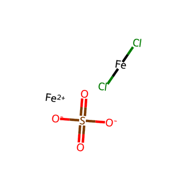 O=S(=O)([O-])[O-].[Cl][Fe][Cl].[Fe+2]